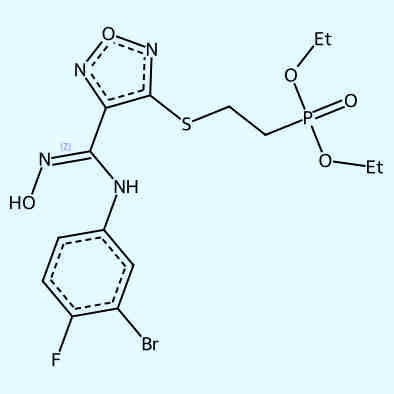 CCOP(=O)(CCSc1nonc1/C(=N/O)Nc1ccc(F)c(Br)c1)OCC